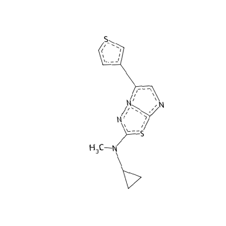 CN(c1nn2c(-c3ccsc3)cnc2s1)C1CC1